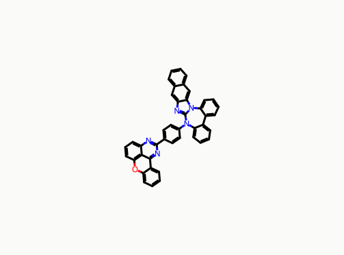 c1ccc2c(c1)Oc1cccc3nc(-c4ccc(N5c6ccccc6-c6ccccc6-n6c5nc5cc7ccccc7cc56)cc4)nc-2c13